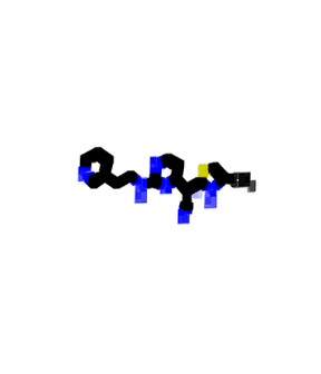 CC1=CS/C(=C(/C#N)c2ccnc(NCCc3cccnc3)n2)N1